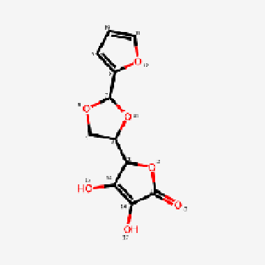 O=C1OC(C2COC(c3ccco3)O2)C(O)=C1O